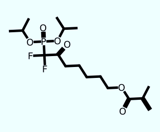 C=C(C)C(=O)OCCCCCC(=O)C(F)(F)P(=O)(OC(C)C)OC(C)C